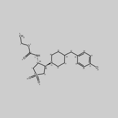 CCOC(=O)N[C@H]1CS(=O)(=O)C[C@@H]1N1CCC(Cc2ccc(Cl)cc2)CC1